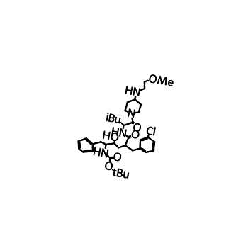 CC[C@H](C)[C@H](NC(=O)C(Cc1cccc(Cl)c1)CC(O)C(Cc1ccccc1)NC(=O)OC(C)(C)C)C(=O)N1CCC(NCCOC)CC1